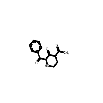 CC(=O)C1CCNC(C(=O)c2ccccc2)C1=O